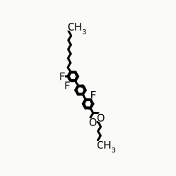 CCCCCCCCCCc1ccc(-c2ccc(-c3ccc(C4COC(CCCCC)OC4)cc3F)cc2)c(F)c1F